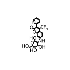 O=c1oc2cc(N[C@@H]3C(O)OC(CO)[C@@H](O)C3O)ccc2c(C(F)(F)F)c1-c1ccccn1